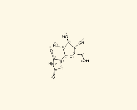 O=C1C=C(C2O[C@H](CO)[C@@H](O)[C@H](O)[C@H]2O)C(=O)N1